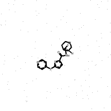 O=C(N[C@H]1CN2CCC1CC2)c1ccc(Sc2ccncc2)s1